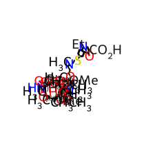 CC[C@H]1OC(=O)[C@H](C)[C@@H](O[C@H]2C[C@@](C)(OC)[C@@H](OCCCN(C)CCSc3ccc4c(c3)c(=O)c(C(=O)O)cn4CC)[C@H](C)O2)[C@H](C)[C@@H](O[C@@H]2O[C@H](C)C[C@H](N(C)C)[C@H]2O)[C@](C)(OC)C[C@@H](C)C(=O)C(C)[C@H]2NC(=O)O[C@@]21C